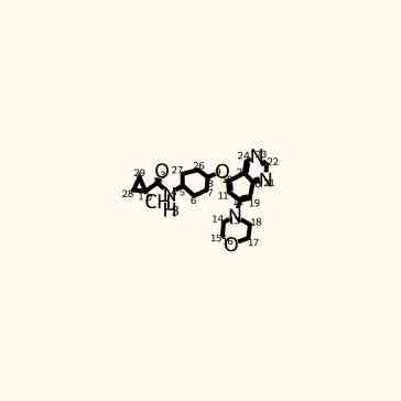 CC1(C(=O)NC2CCC(Oc3cc(N4CCOCC4)cc4ncncc34)CC2)CC1